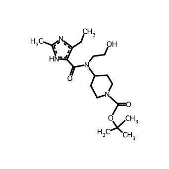 CCc1nc(C)[nH]c1C(=O)N(CCO)C1CCN(C(=O)OC(C)(C)C)CC1